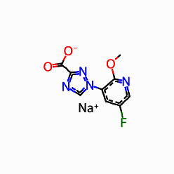 COc1ncc(F)cc1-n1cnc(C(=O)[O-])n1.[Na+]